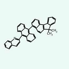 CC1(C)c2ccccc2-c2c1ccc1c(-c3c4ccccc4c(-c4ccc5ccccc5n4)c4ccccc34)cccc21